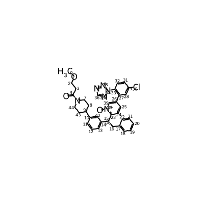 COCCC(=O)N1CCC(c2cccc([C@H](Cc3ccccc3)c3ccc(-c4cc(Cl)ccc4-n4ncnn4)c[n+]3[O-])c2)CC1